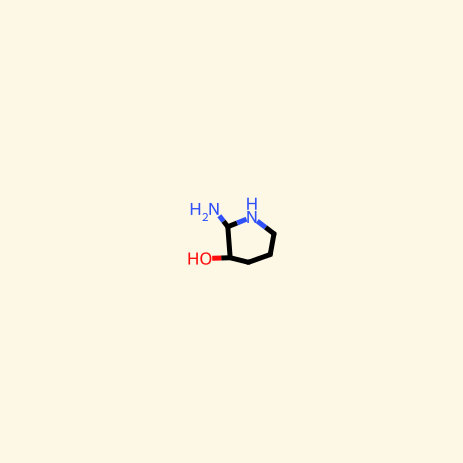 NC1NCCCC1O